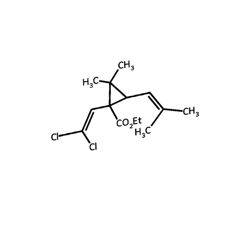 CCOC(=O)C1(C=C(Cl)Cl)C(C=C(C)C)C1(C)C